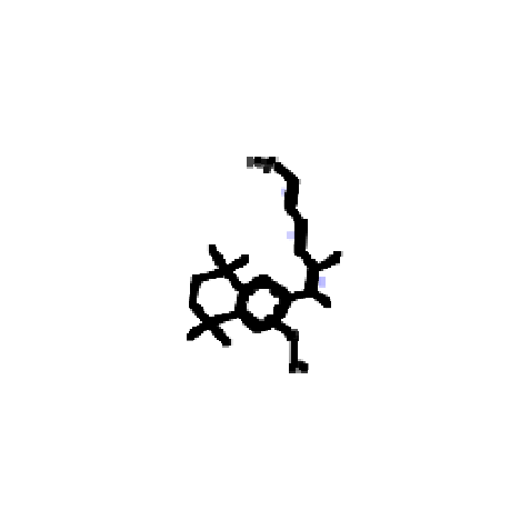 CCCOc1cc2c(cc1\C(C)=C(F)/C=C/C=C/C(=O)O)C(C)(C)CCC2(C)C